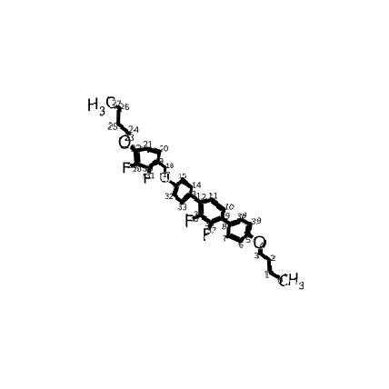 CCCCOc1ccc(-c2ccc(-c3ccc(OCc4ccc(OCCCC)c(F)c4F)cc3)c(F)c2F)cc1